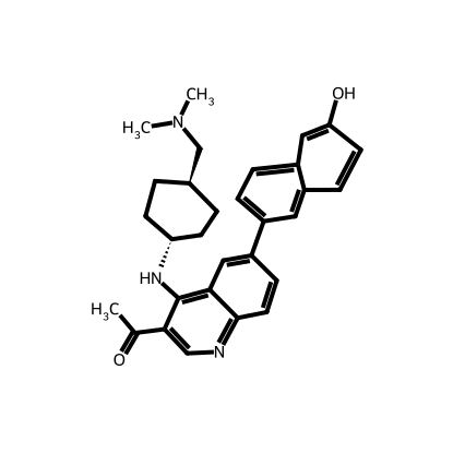 CC(=O)c1cnc2ccc(-c3ccc4cc(O)ccc4c3)cc2c1N[C@H]1CC[C@H](CN(C)C)CC1